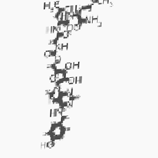 CSCC[C@H](NC(=O)[C@H](CC(C)C)NC(=O)CNC(=O)OCC1OC(n2cnc3c(NCc4ccc(O)cc4)ncnc32)C(O)C1O)C(N)=O